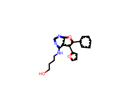 OCCCCNc1ncnc2oc(-c3ccccc3)c(-c3ccco3)c12